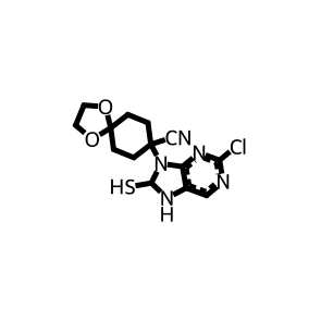 N#CC1(N2c3nc(Cl)ncc3NC2S)CCC2(CC1)OCCO2